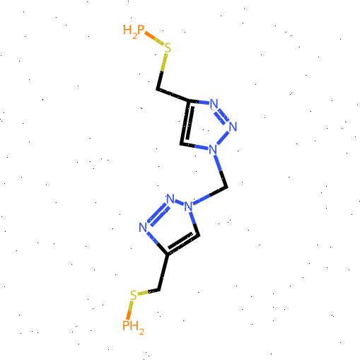 PSCc1cn(Cn2cc(CSP)nn2)nn1